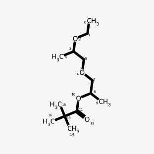 CCOC(C)COCC(C)OC(=O)C(C)(C)C